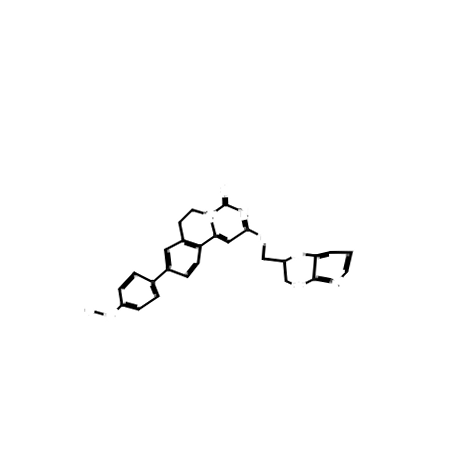 COc1ccc(-c2ccc3c(c2)CCn2c-3cc(OCC3COc4ncccc4O3)nc2=O)cc1